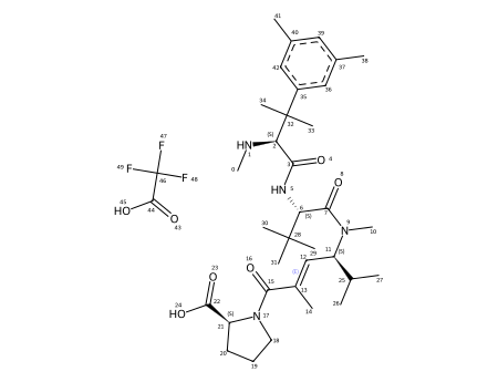 CN[C@H](C(=O)N[C@H](C(=O)N(C)[C@H](/C=C(\C)C(=O)N1CCC[C@H]1C(=O)O)C(C)C)C(C)(C)C)C(C)(C)c1cc(C)cc(C)c1.O=C(O)C(F)(F)F